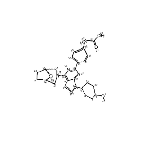 COC1CCC(n2ncc3c(N4CC5CCC(C4)O5)nc(-c4ccc(NC(=O)O)cc4)nc32)CC1